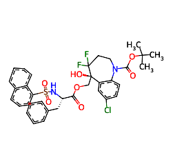 CC(C)(C)OC(=O)N1CCC(F)(F)[C@@](O)(COC(=O)[C@H](Cc2ccccc2)NS(=O)(=O)c2cccc3ccccc23)c2cc(Cl)ccc21